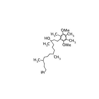 COc1c(C)c(C)c(OC)c(CC[C@](C)(O)CCC[C@H](C)CCCC(C)CCCC(C)C)c1C